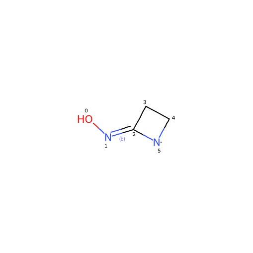 O/N=C1\CC[N]1